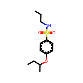 CCCNS(=O)(=O)c1ccc(OC(C)CC)cc1